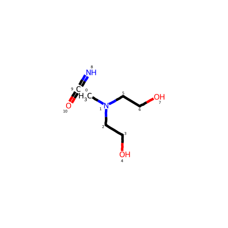 CN(CCO)CCO.N=C=O